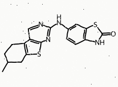 CC1CCc2c(sc3nc(Nc4ccc5[nH]c(=O)sc5c4)ncc23)C1